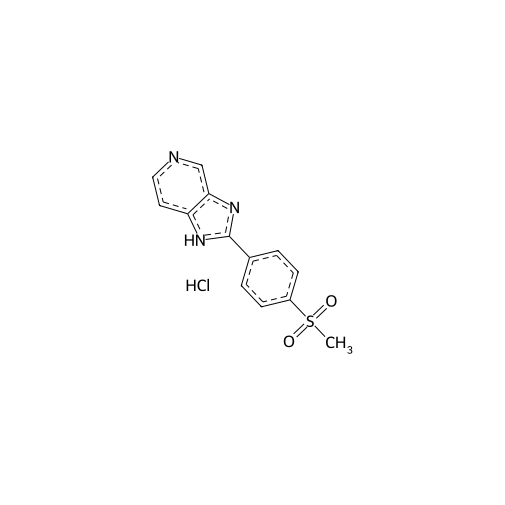 CS(=O)(=O)c1ccc(-c2nc3cnccc3[nH]2)cc1.Cl